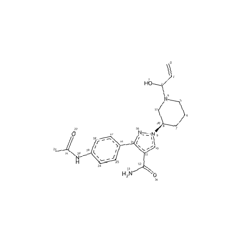 C=CC(O)N1CCC[C@@H](n2cc(C(N)=O)c(-c3ccc(NC(C)=O)cc3)n2)C1